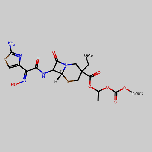 CCCCCOC(=O)OC(C)OC(=O)C1(COC)CS[C@@H]2C(NC(=O)C(=NO)c3csc(N)n3)C(=O)N2C1